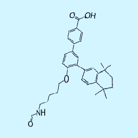 CC1(C)CCC(C)(C)c2cc(-c3cc(-c4ccc(C(=O)O)cc4)ccc3OCCCCCNC=O)ccc21